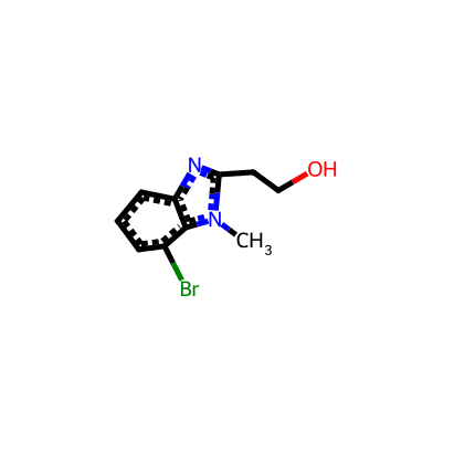 Cn1c(CCO)nc2cccc(Br)c21